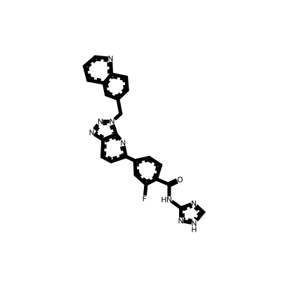 O=C(Nc1nc[nH]n1)c1ccc(-c2ccc3nnn(Cc4ccc5ncccc5c4)c3n2)cc1F